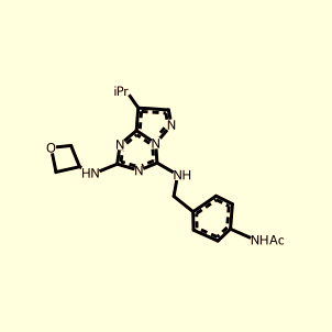 CC(=O)Nc1ccc(CNc2nc(NC3COC3)nc3c(C(C)C)cnn23)cc1